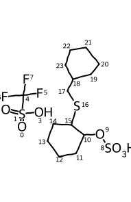 O=S(=O)(O)C(F)(F)F.O=S(=O)(O)OC1CCCCC1SCC1CCCCC1